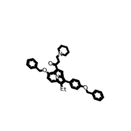 CCc1c(-c2ccc(OCc3ccccc3)cc2)c2cc(C(=O)CCN3CCCCC3)c3c(OCc4ccccc4)ccc1n23